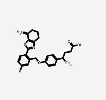 C=C1CCCc2nc(-c3ccc(F)cc3COc3ccc(C(C)CCC(=O)O)cc3)sc21